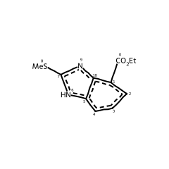 CCOC(=O)c1cccc2[nH]c(SC)nc12